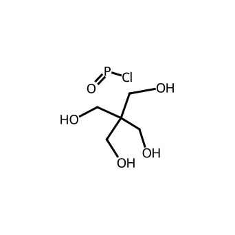 O=PCl.OCC(CO)(CO)CO